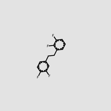 Fc1ccc([CH]Cc2cccc(F)c2F)cc1F